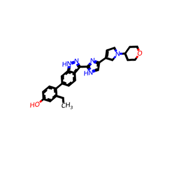 CCc1cc(O)ccc1-c1ccc2c(-c3nc(C4=CCN(C5CCOCC5)C4)c[nH]3)n[nH]c2c1